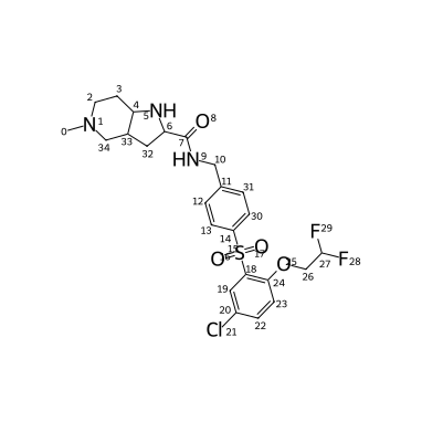 CN1CCC2NC(C(=O)NCc3ccc(S(=O)(=O)c4cc(Cl)ccc4OCC(F)F)cc3)CC2C1